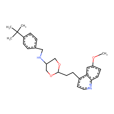 COc1ccc2nccc(CCC3OCC(NCc4ccc(C(C)(C)C)cc4)CO3)c2c1